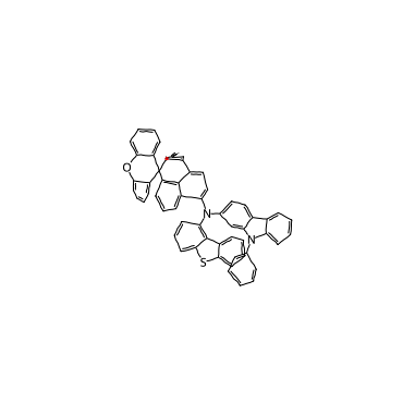 c1ccc(-n2c3ccccc3c3ccc(N(c4ccc5c6c(cccc46)C4(c6ccccc6Oc6ccccc64)c4ccccc4-5)c4cccc5sc6ccccc6c45)cc32)cc1